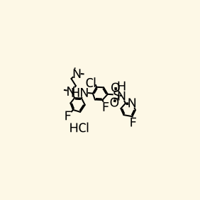 CN(C)CCN(C)c1cc(F)ccc1Nc1cc(F)c(S(=O)(=O)Nc2ccc(F)cn2)cc1Cl.Cl